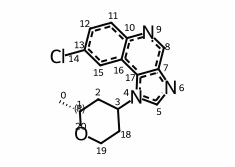 C[C@@H]1CC(n2cnc3cnc4ccc(Cl)cc4c32)CCO1